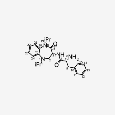 CC(C)N1CC(NC(=O)[C@H](N)Cc2ccccc2)C(=O)N(C(C)C)c2ccccc21